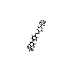 CC(C)(C)OC(=O)N1CCN(CCc2ccc(-c3ccc(S(C)(=O)=O)cc3)nc2)CC1